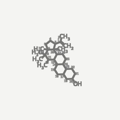 C=C(C)C1CCC2(C)C(C)(C)C(C)C3C4CCC5CC(O)CCC5C4CCC3C12C